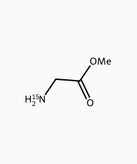 COC(=O)C[15NH2]